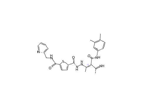 CC(=N)/C(C(=O)Nc1ccc(C)c(C)c1)=C(\C)NNC(=O)c1ccc(C(=O)NCc2ccccn2)s1